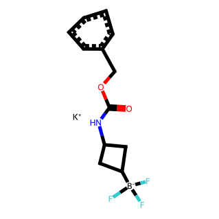 O=C(NC1CC([B-](F)(F)F)C1)OCc1ccccc1.[K+]